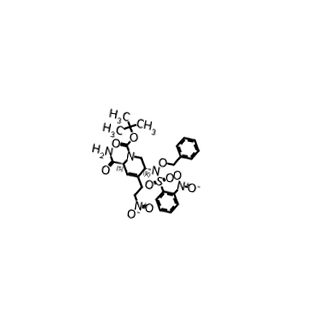 CC(C)(C)OC(=O)N1C[C@H](N(OCc2ccccc2)S(=O)(=O)c2ccccc2[N+](=O)[O-])C(CC[N+](=O)[O-])=C[C@H]1C(N)=O